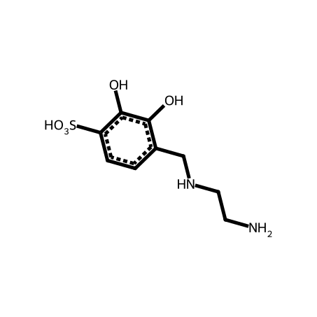 NCCNCc1ccc(S(=O)(=O)O)c(O)c1O